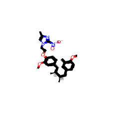 COc1ccc(C[C@@H](C)[C@@H](C)Cc2ccc(OCCn3cc(C)nc3[N+](=O)[O-])c(OC)c2)cc1C